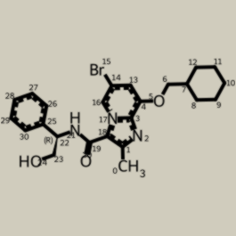 Cc1nc2c(OCC3CCCCC3)cc(Br)cn2c1C(=O)N[C@@H](CO)c1ccccc1